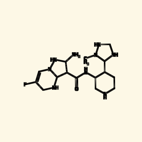 CN1NCNC1C1CCNCC1NC(=O)C1C(N)NN2C=C(F)CNC12